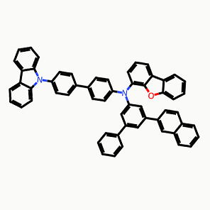 c1ccc(-c2cc(-c3ccc4ccccc4c3)cc(N(c3ccc(-c4ccc(-n5c6ccccc6c6ccccc65)cc4)cc3)c3cccc4c3oc3ccccc34)c2)cc1